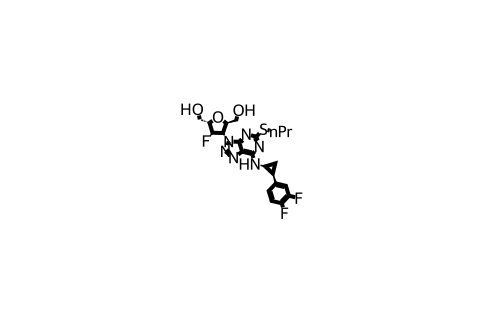 CCCSc1nc(N[C@@H]2C[C@H]2c2ccc(F)c(F)c2)c2nnn([C@@H]3[C@H](F)[C@H](CO)O[C@H]3CO)c2n1